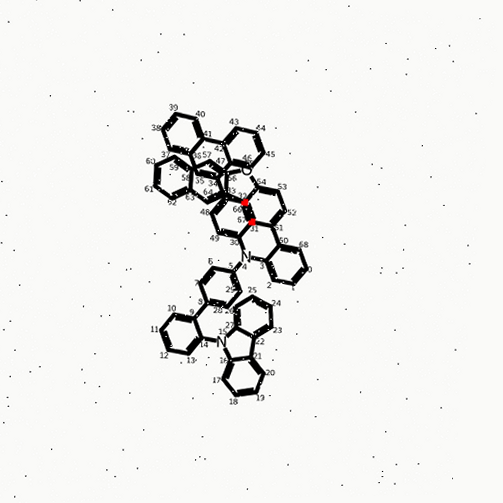 c1ccc(N(c2ccc(-c3ccccc3-n3c4ccccc4c4ccccc43)cc2)c2ccc(-c3cc4ccccc4c4ccccc34)cc2)c(-c2ccc3oc4cc5ccccc5cc4c3c2)c1